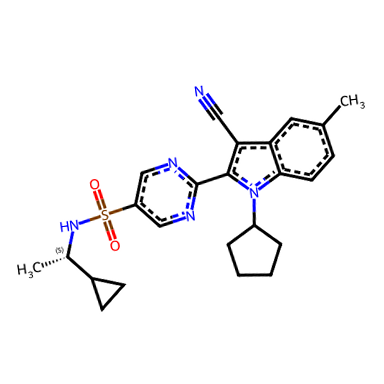 Cc1ccc2c(c1)c(C#N)c(-c1ncc(S(=O)(=O)N[C@@H](C)C3CC3)cn1)n2C1CCCC1